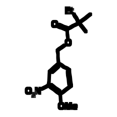 CCC(C)(C)C(=O)OCc1ccc(OC)c([N+](=O)[O-])c1